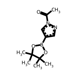 CC(=O)n1cc(B2OC(C)(C)C(C)(C)O2)cn1